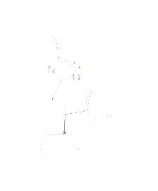 COC(=O)c1cc2nc(C)nn2cc1OC